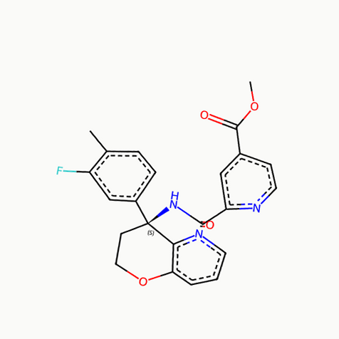 COC(=O)c1ccnc(C(=O)N[C@]2(c3ccc(C)c(F)c3)CCOc3cccnc32)c1